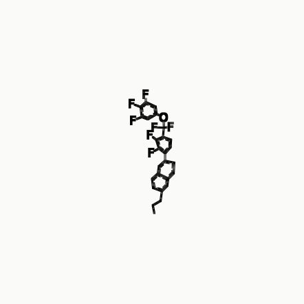 CCCc1ccc2cc(-c3ccc(C(F)(F)Oc4cc(F)c(F)c(F)c4)c(F)c3F)ccc2c1